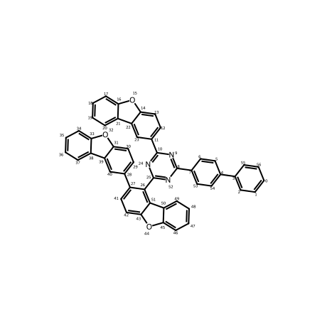 c1ccc(-c2ccc(-c3nc(-c4ccc5oc6ccccc6c5c4)nc(-c4c(-c5ccc6oc7ccccc7c6c5)ccc5oc6ccccc6c45)n3)cc2)cc1